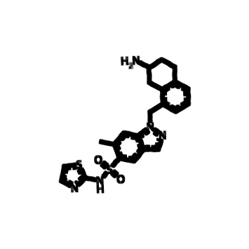 Cc1cc2c(cnn2Cc2cccc3c2CC(N)CC3)cc1S(=O)(=O)Nc1nccs1